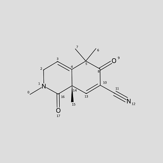 CN1CC=C2C(C)(C)C(=O)C(C#N)=C[C@]2(C)C1=O